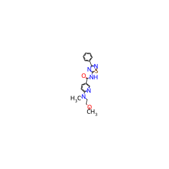 COCCN(C)c1ccc(C(=O)Nc2nc(-c3ccccc3)ns2)cn1